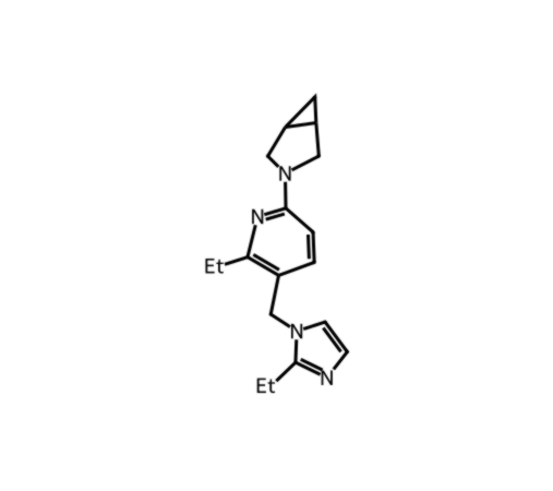 CCc1nc(N2CC3CC3C2)ccc1Cn1ccnc1CC